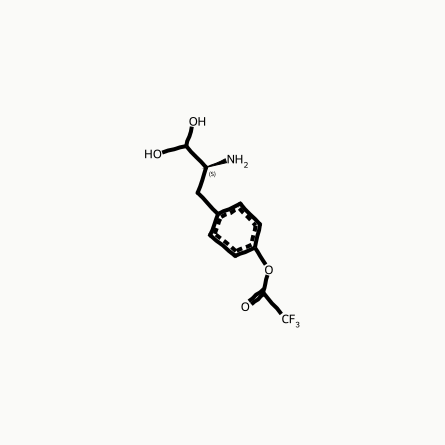 N[C@@H](Cc1ccc(OC(=O)C(F)(F)F)cc1)C(O)O